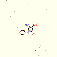 COC(=O)c1cc(OC)c(NC2CCOCC2)cc1N